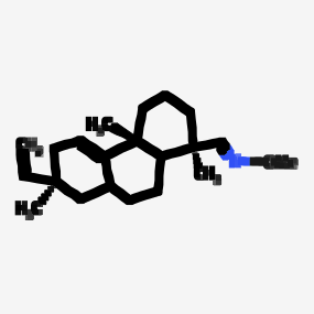 C=C[C@@]1(C)CC=C2C(CCC3[C@@]2(C)CCC[C@@]3(C)/C=N/OC)C1